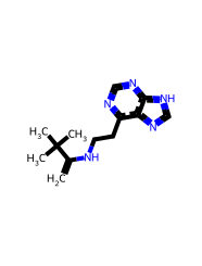 C=C(NCCc1ncnc2[nH]cnc12)C(C)(C)C